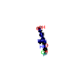 O=C(Nc1ccc(OC(F)(F)Cl)cc1)c1cnc(N2CC(N3CCN(C4CN(C(=O)O)C4)CC3)C2)c(-c2ccn[nH]2)c1